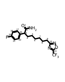 NC(=O)C(CCCCCCc1noc(C(F)(F)F)n1)c1ccc(F)cc1